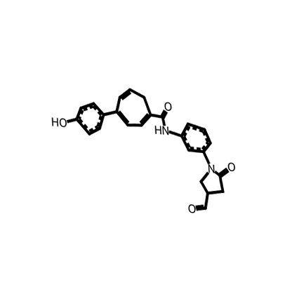 O=CC1CC(=O)N(c2cccc(NC(=O)C3=CC=C(c4ccc(O)cc4)C=CC3)c2)C1